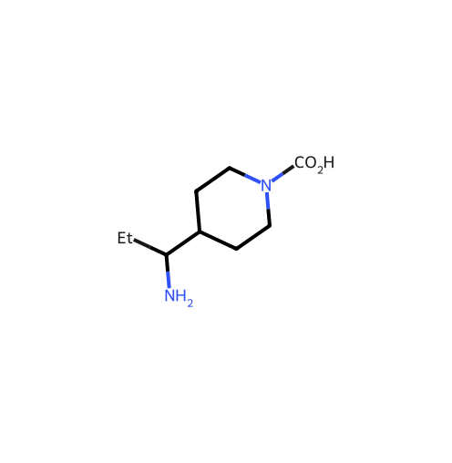 CCC(N)C1CCN(C(=O)O)CC1